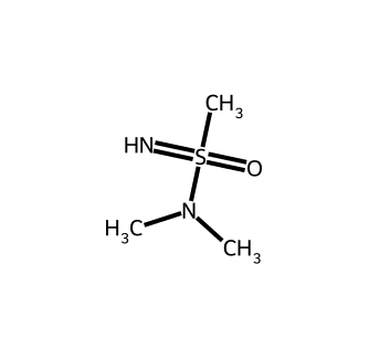 CN(C)S(C)(=N)=O